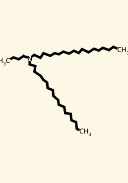 CCC[CH]N(CCCCCCCCCCCCCCCCCC)CCCCCCCCCCCCCCCCCC